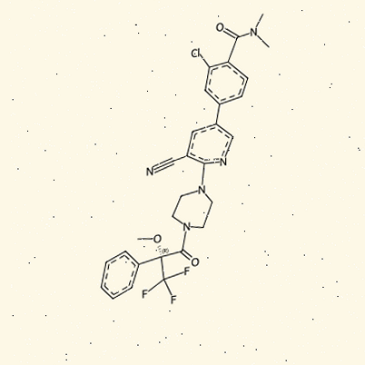 CO[C@@](C(=O)N1CCN(c2ncc(-c3ccc(C(=O)N(C)C)c(Cl)c3)cc2C#N)CC1)(c1ccccc1)C(F)(F)F